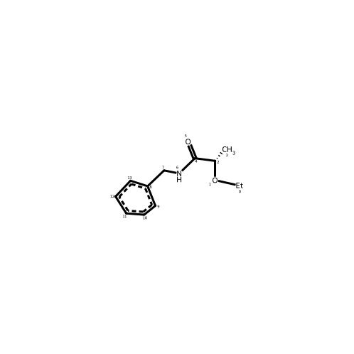 CCO[C@@H](C)C(=O)NCc1ccccc1